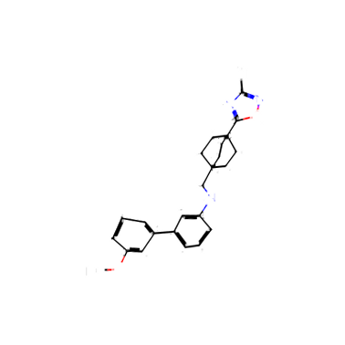 COc1cccc(-c2cccc(NCC34CCC(c5nc(C)no5)(CC3)CC4)c2)c1